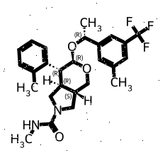 CNC(=O)N1C[C@H]2CO[C@H](O[C@H](C)c3cc(C)cc(C(F)(F)F)c3)[C@@H](c3ccccc3C)[C@@H]2C1